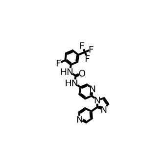 O=C(Nc1ccc(-n2ccnc2-c2ccncc2)nc1)Nc1cc(C(F)(F)F)ccc1F